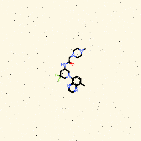 Cc1ccc(N2CC(NC(=O)CN3CCN(C)CC3)CC(F)(F)C2)c2nccnc12